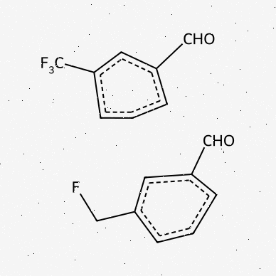 O=Cc1cccc(C(F)(F)F)c1.O=Cc1cccc(CF)c1